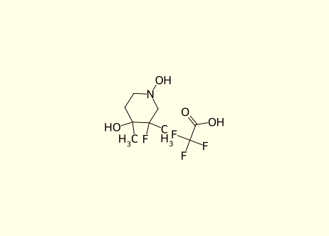 CC1(O)CCN(O)CC1(C)F.O=C(O)C(F)(F)F